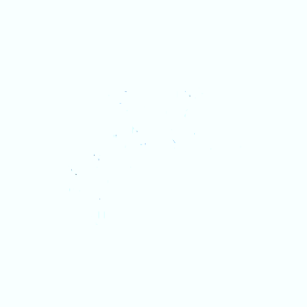 CCCC[C@H](CC(=O)NO)C(=O)N1CC2(CC2)C[C@H]1C(=O)Nc1cc(C)on1